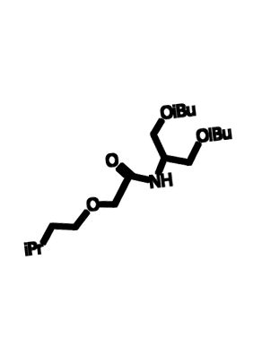 CC(C)CCOCC(=O)NC(COCC(C)C)COCC(C)C